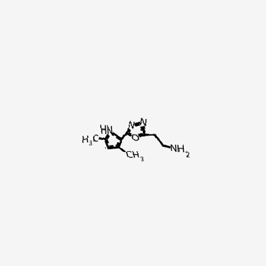 Cc1[c]c(C)c(-c2nnc(CCN)o2)[nH]1